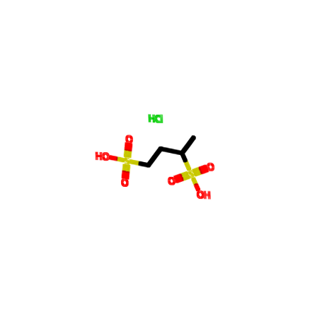 CC(CCS(=O)(=O)O)S(=O)(=O)O.Cl